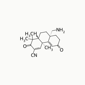 CC1(C)C(=O)C(C#N)=C[C@]2(C)C3=CC(=O)CC[C@]3(CN)CC[C@@H]12